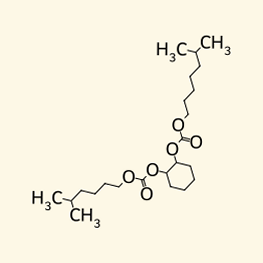 CC(C)CCCCCOC(=O)OC1CCCCC1OC(=O)OCCCCC(C)C